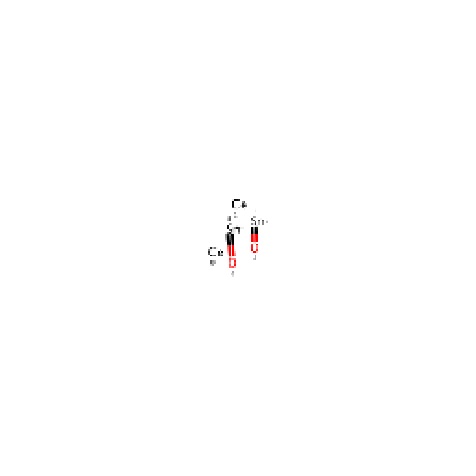 [Ce].[Ce].[O]=[Sn].[O]=[Sn]